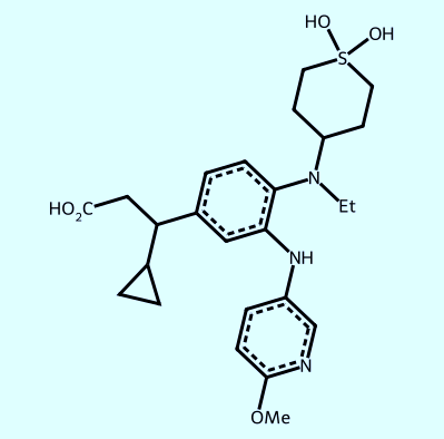 CCN(c1ccc(C(CC(=O)O)C2CC2)cc1Nc1ccc(OC)nc1)C1CCS(O)(O)CC1